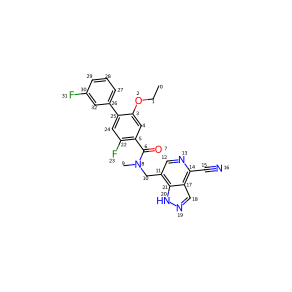 CCOc1cc(C(=O)N(C)Cc2cnc(C#N)c3cn[nH]c23)c(F)cc1-c1cccc(F)c1